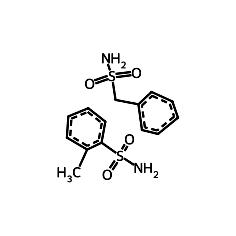 Cc1ccccc1S(N)(=O)=O.NS(=O)(=O)Cc1ccccc1